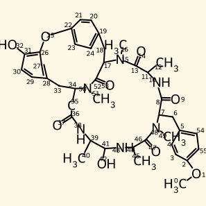 COc1ccc(CC2C(=O)NC(C)C(=O)N(C)C3Cc4ccc(cc4)Oc4cc(ccc4O)CC(CC(=O)NC(C)C(O)NC(C)C(=O)N2C)N(C)C3=O)cc1